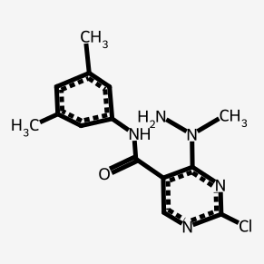 Cc1cc(C)cc(NC(=O)c2cnc(Cl)nc2N(C)N)c1